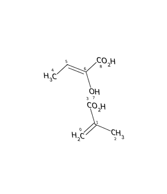 C=C(C)C(=O)O.CC=C(O)C(=O)O